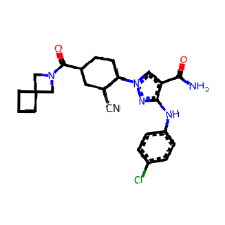 N#CC1CC(C(=O)N2CC3(CCC3)C2)CCC1n1cc(C(N)=O)c(Nc2ccc(Cl)cc2)n1